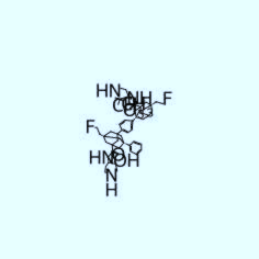 CC1(C)CNCCC1NC(=O)C12CC3C[C@@](CCF)(C1)C[C@](c1ccc(C45CC6(C(=O)N[C@@H]7CCNC[C@H]7O)C[C@](CCF)(C4)C[C@@](c4ccccc4)(C6)C5)cc1)(C3)C2